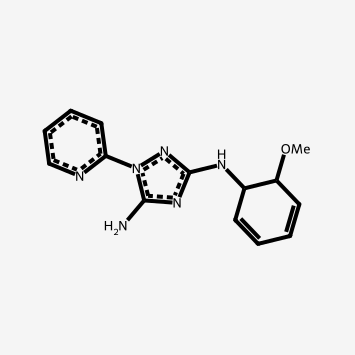 COC1C=CC=CC1Nc1nc(N)n(-c2ccccn2)n1